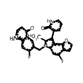 O=C(O)c1c(-c2ccc[nH]c2=O)c2c3occc3c(F)cc2n1Cc1cc2c(=O)cc[nH]c2cc1F